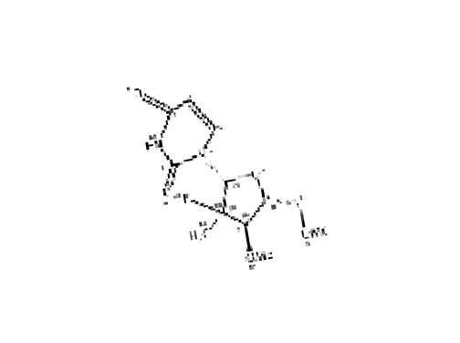 COC[C@H]1O[C@@H](n2ccc(=O)[nH]c2=O)[C@](C)(F)[C@@H]1OC